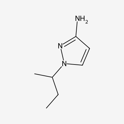 CCC(C)n1ccc(N)n1